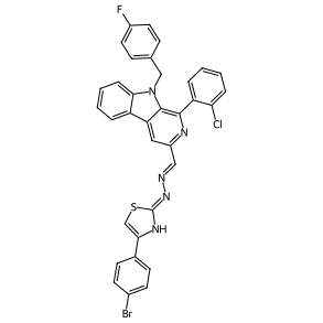 Fc1ccc(Cn2c3ccccc3c3cc(C=NN=c4[nH]c(-c5ccc(Br)cc5)cs4)nc(-c4ccccc4Cl)c32)cc1